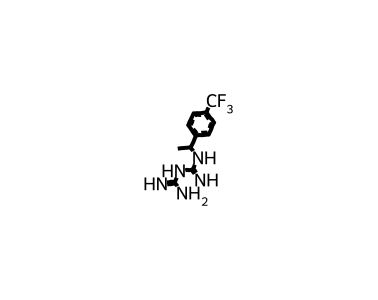 CC(NC(=N)NC(=N)N)c1ccc(C(F)(F)F)cc1